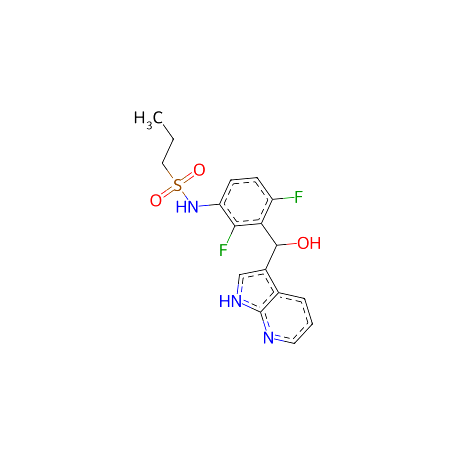 CCCS(=O)(=O)Nc1ccc(F)c(C(O)c2c[nH]c3ncccc23)c1F